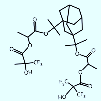 CC(OC(=O)C(C)(O)C(F)(F)F)C(=O)OC(C)(C)C12CC3CC(C1)CC(C(C)(C)OC(=O)C(C)OC(=O)C(O)(C(F)(F)F)C(F)(F)F)(C3)C2